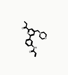 C=CC(=O)Nc1cccc(-c2cc(CN3CCOCC3)cc(C(=O)CC)n2)c1